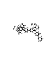 Cc1cccc(N(c2ccc(-c3ccccc3)cc2)c2ccc(-c3ccc4c(c3)c3cccc5c3n4-c3ccoc3C5(C)C)cc2)c1